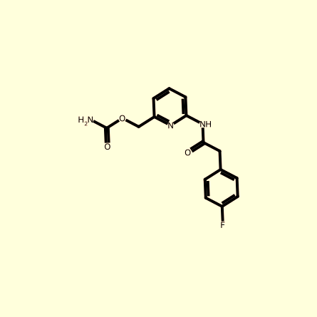 NC(=O)OCc1cccc(NC(=O)Cc2ccc(F)cc2)n1